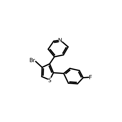 Fc1ccc(-c2scc(Br)c2-c2ccncc2)cc1